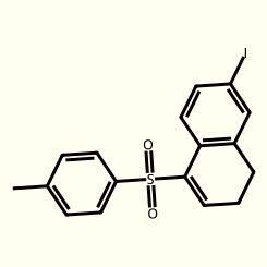 Cc1ccc(S(=O)(=O)C2=CCCc3cc(I)ccc32)cc1